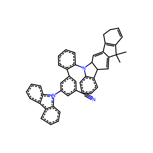 CC1(C)C2=CC3c4ccccc4N(c4ccccc4-c4cc(C#N)cc(-n5c6ccccc6c6ccccc65)c4)C3C=C2C2=C1C=CCC2